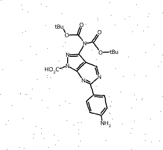 CC(C)(C)OC(=O)N(C(=O)OC(C)(C)C)c1nn(C(=O)O)c2nc(-c3ccc(N)cc3)ncc12